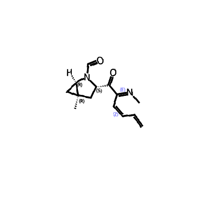 C=C/C=C\C(=N/C)C(=O)[C@@H]1C[C@@]2(C)C[C@H]2N1C=O